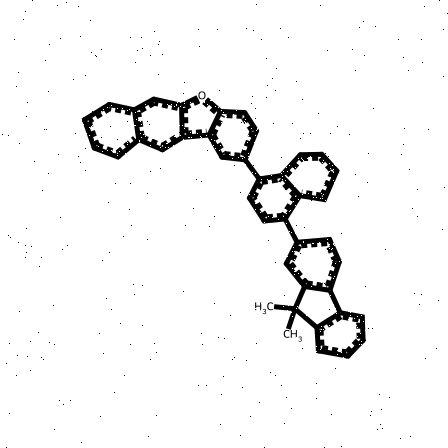 CC1(C)c2ccccc2-c2ccc(-c3ccc(-c4ccc5oc6cc7ccccc7cc6c5c4)c4ccccc34)cc21